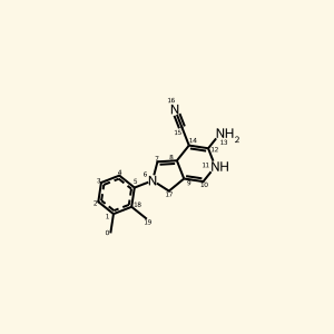 Cc1cccc(N2C=C3C(=CNC(N)=C3C#N)C2)c1C